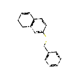 C1=Cc2ccc(SCc3ccccc3)cc2CC1